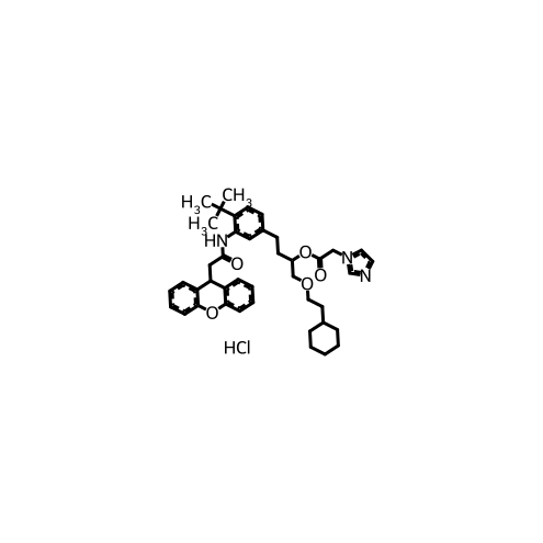 CC(C)(C)c1ccc(CCC(COCCC2CCCCC2)OC(=O)Cn2ccnc2)cc1NC(=O)CC1c2ccccc2Oc2ccccc21.Cl